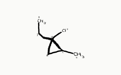 CCC1(Cl)CC1C